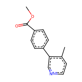 COC(=O)c1ccc(-c2cnccc2C)cc1